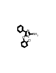 Nc1nc(-c2ccccc2)c(Oc2ccccc2Cl)s1